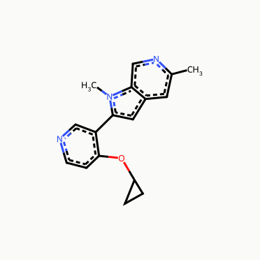 Cc1cc2cc(-c3cnccc3OC3CC3)n(C)c2cn1